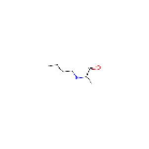 CCCCNC(C)[C]=O